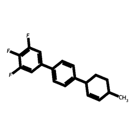 CC1C=CC(c2ccc(-c3cc(F)c(F)c(F)c3)cc2)CC1